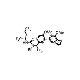 CCN(C(=O)N[C@@H](CCC(F)(F)F)C(F)(F)F)C(c1ncc(OC)c(-c2cn3ccnc3c(OC)n2)n1)C(F)(F)F